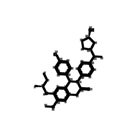 CC[C@@H](C)Oc1cc2c(cc1OC)CC(=O)N(c1ccc(C(C)N3CC[C@H](O)C3)cc1)C2c1ccc(Cl)cc1